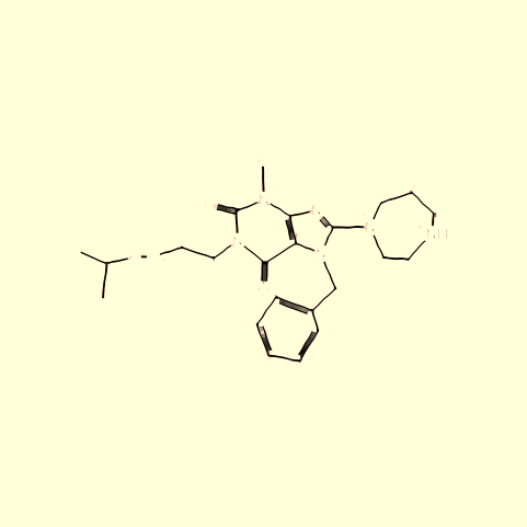 CC(C)CCCCn1c(=O)c2c(nc(N3CCCNCC3)n2Cc2ccccc2)n(C)c1=O